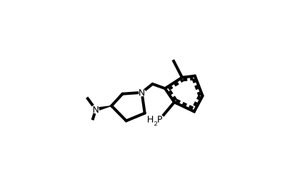 Cc1cccc(P)c1CN1CC[C@@H](N(C)C)C1